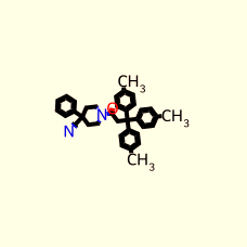 Cc1ccc(C(CC(=O)N2CCC(C#N)(c3ccccc3)CC2)(c2ccc(C)cc2)c2ccc(C)cc2)cc1